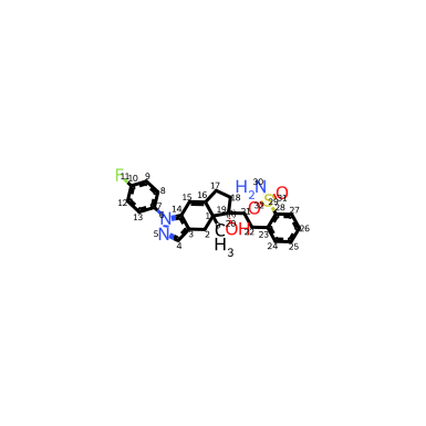 CC12Cc3cnn(-c4ccc(F)cc4)c3C=C1CC[C@@]2(O)CCc1ccccc1S(N)(=O)=O